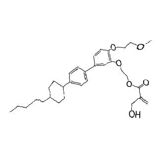 C=C(CO)C(=O)OCCOc1cc(-c2ccc(C3CCC(CCCCC)CC3)cc2)ccc1OCCOC